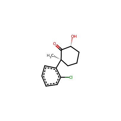 C[C@@]1(c2ccccc2Cl)CCC[C@@H](O)C1=O